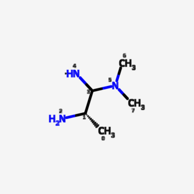 C[C@H](N)C([NH])N(C)C